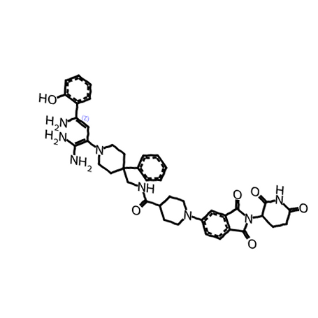 NC(N)=C(/C=C(\N)c1ccccc1O)N1CCC(CNC(=O)C2CCN(c3ccc4c(c3)C(=O)N(C3CCC(=O)NC3=O)C4=O)CC2)(c2ccccc2)CC1